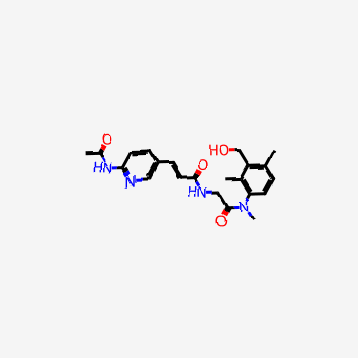 CC(=O)Nc1ccc(/C=C/C(=O)NCC(=O)N(C)c2ccc(C)c(CO)c2C)cn1